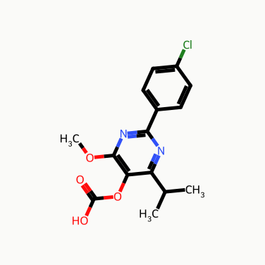 COc1nc(-c2ccc(Cl)cc2)nc(C(C)C)c1OC(=O)O